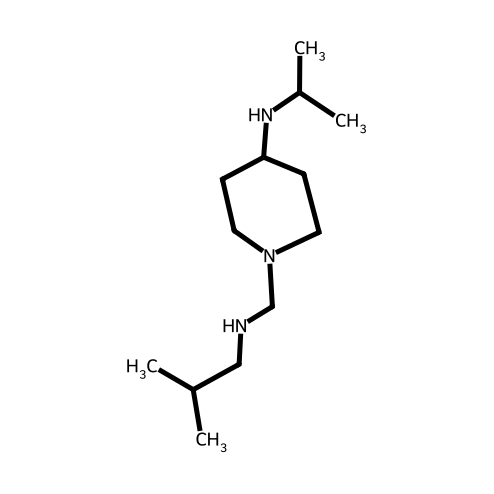 CC(C)CNCN1CCC(NC(C)C)CC1